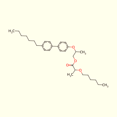 CCCCCCCc1ccc(-c2ccc(OC(C)COC(=O)C(C)OCCCCCC)cc2)cc1